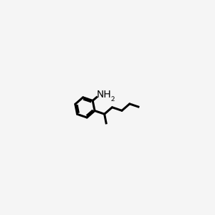 CCCCC(C)c1ccccc1N